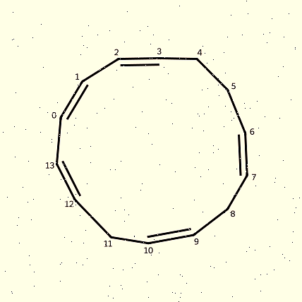 C1=CC=CCCC=CCC=CCC=C1